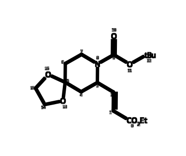 CCOC(=O)C=CC1CC2(CCN1C(=O)OC(C)(C)C)OCCO2